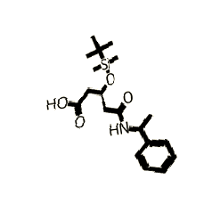 CC(NC(=O)C[C@@H](CC(=O)O)O[Si](C)(C)C(C)(C)C)c1ccccc1